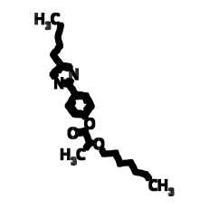 CCCCCCCOC(C)C(=O)Oc1ccc(-c2ncc(CCCCC)cn2)cc1